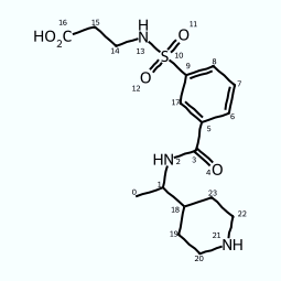 CC(NC(=O)c1cccc(S(=O)(=O)NCCC(=O)O)c1)C1CCNCC1